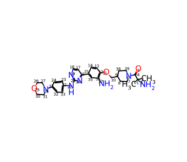 CC(C)(N)C(=O)N1CCC(COc2ccc(-c3ccnc(Nc4ccc(N5CCOCC5)cc4)n3)cc2N)CC1